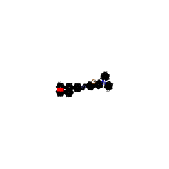 C(=C\c1ccc2c(c1)sc1cc(N(c3ccccc3)c3ccccc3)ccc12)/c1ccc(-c2ccc(-c3ccccc3)c3c(-c4ccccc4)cccc23)cc1